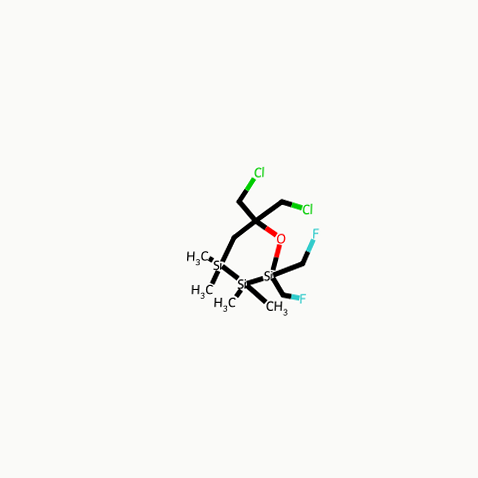 C[Si]1(C)CC(CCl)(CCl)O[Si](CF)(CF)[Si]1(C)C